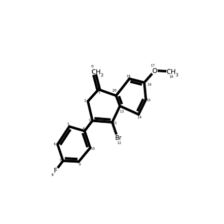 C=C1CC(c2ccc(F)cc2)=C(Br)c2ccc(OC)cc21